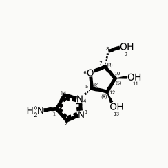 Nc1cnn([C@@H]2O[C@H](CO)[C@@H](O)[C@H]2O)c1